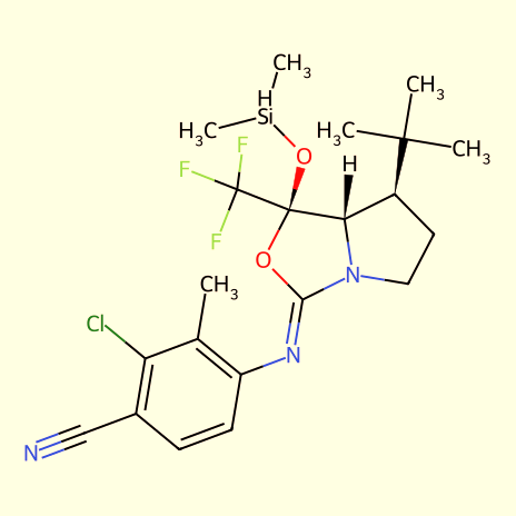 Cc1c(N=C2O[C@](O[SiH](C)C)(C(F)(F)F)[C@@H]3[C@@H](C(C)(C)C)CCN23)ccc(C#N)c1Cl